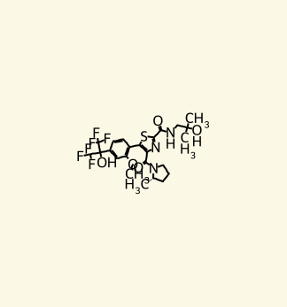 COc1cc(C(O)(C(F)(F)F)C(F)(F)F)ccc1-c1sc(C(=O)NCC(C)(C)O)nc1C(=O)N1CCC[C@@H]1C